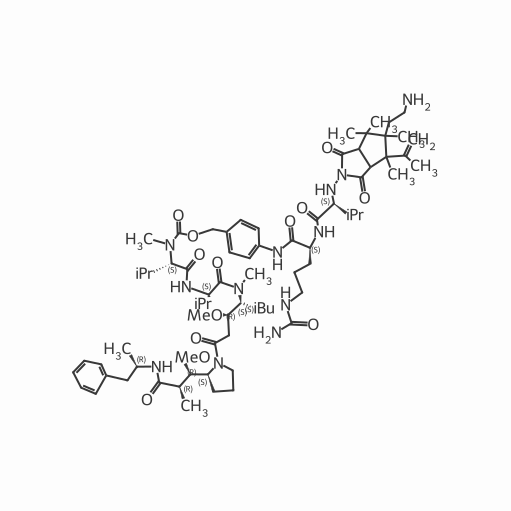 C=C(C)C1(C)C2C(=O)N(N[C@H](C(=O)N[C@@H](CCCNC(N)=O)C(=O)Nc3ccc(COC(=O)N(C)[C@H](C(=O)N[C@H](C(=O)N(C)[C@@H]([C@@H](C)CC)[C@@H](CC(=O)N4CCC[C@H]4[C@H](OC)[C@@H](C)C(=O)N[C@H](C)Cc4ccccc4)OC)C(C)C)C(C)C)cc3)C(C)C)C(=O)C2C(C)(C)C1(C)CCN